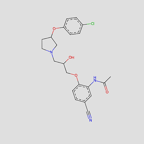 CC(=O)Nc1cc(C#N)ccc1OCC(O)CN1CCC(Oc2ccc(Cl)cc2)C1